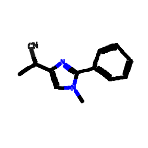 CC(C#N)c1cn(C)c(-c2ccccc2)n1